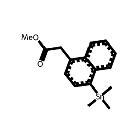 COC(=O)Cc1cc[c]([Sn]([CH3])([CH3])[CH3])c2ccccc12